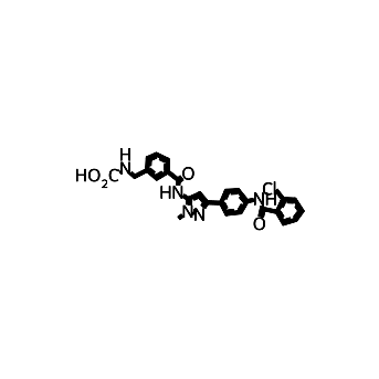 Cn1nc(-c2ccc(NC(=O)c3ccccc3Cl)cc2)cc1NC(=O)c1cccc(CNC(=O)O)c1